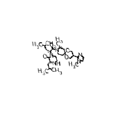 CC(C)C[C@@H]1NCCN([C@@H](CC(C)C)C(=O)N2CCC3(C[C@@H]2C)OCC(c2nccn2C)CO3)C1=O